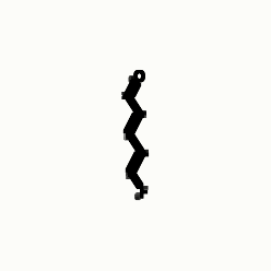 O=C/C=C/C=C/F